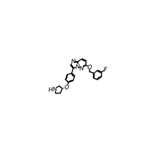 Fc1cccc(COc2ccc3ncc(-c4ccc(O[C@@H]5CCNC5)cc4)n3n2)c1